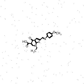 CCn1cc(C(=O)O)c(=O)c2cc(/C=N/c3ccc(OC)cc3)sc21